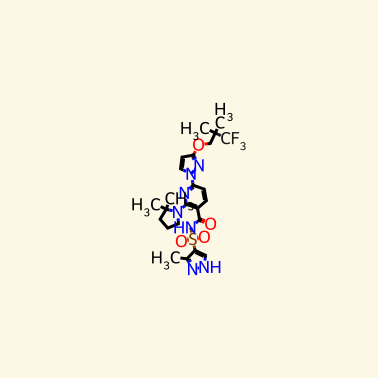 Cc1n[nH]cc1S(=O)(=O)NC(=O)c1ccc(-n2ccc(OCC(C)(C)C(F)(F)F)n2)nc1N1CCCC1(C)C